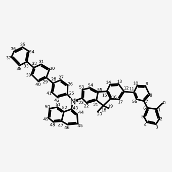 Cc1ccccc1-c1cccc(-c2ccc3c(c2)C(C)(C)c2cc(N(c4ccc(-c5ccc(-c6ccccc6)cc5)cc4)c4cccc5ccccc45)ccc2-3)c1